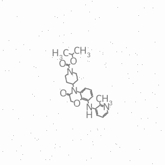 Cc1ncccc1Nc1cccc2c1OCC(=O)N2C1CCN(C(=O)OC(C)C)CC1